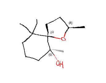 C[C@@H]1CC[C@]2(O1)C(C)(C)CCC[C@]2(C)O